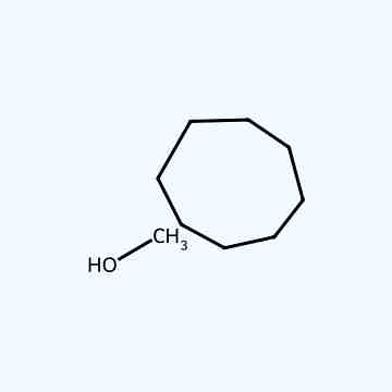 C1CCCCCCC1.CO